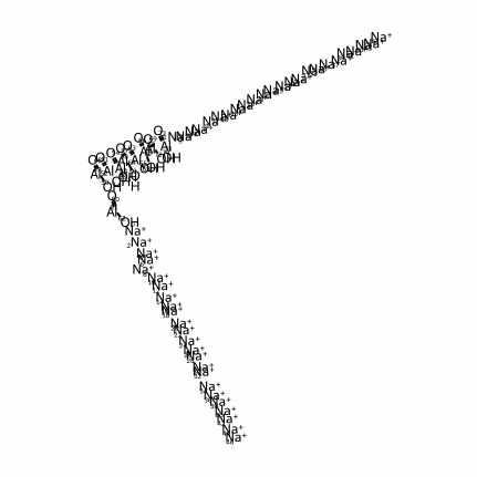 [Na+].[Na+].[Na+].[Na+].[Na+].[Na+].[Na+].[Na+].[Na+].[Na+].[Na+].[Na+].[Na+].[Na+].[Na+].[Na+].[Na+].[Na+].[Na+].[Na+].[Na+].[Na+].[Na+].[Na+].[Na+].[Na+].[Na+].[Na+].[Na+].[Na+].[Na+].[Na+].[Na+].[Na+].[Na+].[Na+].[Na+].[Na+].[Na+].[Na+].[Na+].[Na+].[Na+].[Na+].[Na+].[Na+].[Na+].[Na+].[O]=[Al][OH].[O]=[Al][OH].[O]=[Al][OH].[O]=[Al][OH].[O]=[Al][OH].[O]=[Al][OH].[O]=[Al][OH].[O]=[Al][OH].[O]=[Al][OH]